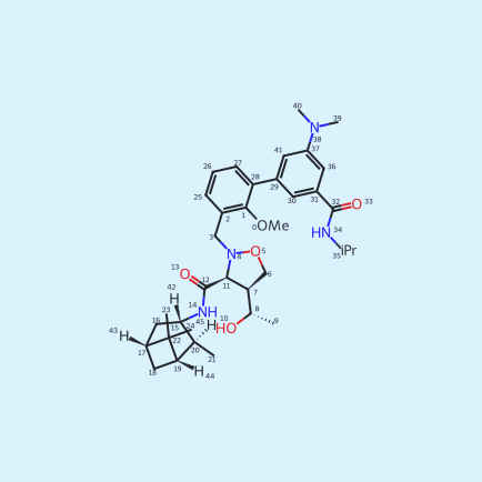 COc1c(CN2OC[C@@H]([C@H](C)O)[C@H]2C(=O)N[C@H]2C[C@H]3C[C@@H]([C@@H]2C)C3(C)C)cccc1-c1cc(C(=O)NC(C)C)cc(N(C)C)c1